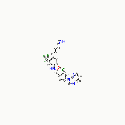 N=CCCCCc1ccc(NC(=O)Cc2ccc(-n3cnc4cccnc43)cc2Cl)cc1C(F)(F)F